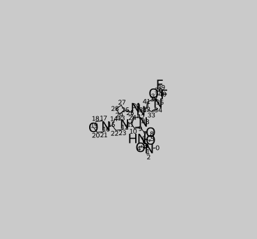 CN(C)S(=O)(=O)NC(=O)c1cc(N2CCC(N3CCOCC3)CC2)c2c(C3CCC3)nn(-c3ccnc(OC(F)F)c3)c2n1